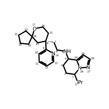 CC(C)C1CCC(NCC[C@@]2(c3ccccn3)CCOC3(CCCC3)C2)c2ccnn21